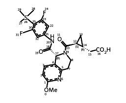 COc1ccc2c(n1)CCN(C(=O)[C@H]1C[C@@H]1CC(=O)O)[C@H]2C(=O)Nc1cc(F)c(S(C)(C)C)c(F)c1